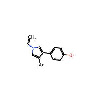 C=Cn1cc(C(C)=O)c(-c2ccc(Br)cc2)c1